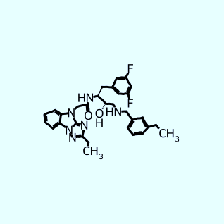 CCc1cccc(CNC[C@H](O)[C@H](Cc2cc(F)cc(F)c2)NC(=O)Cn2c3ccccc3n3nc(CC)nc23)c1